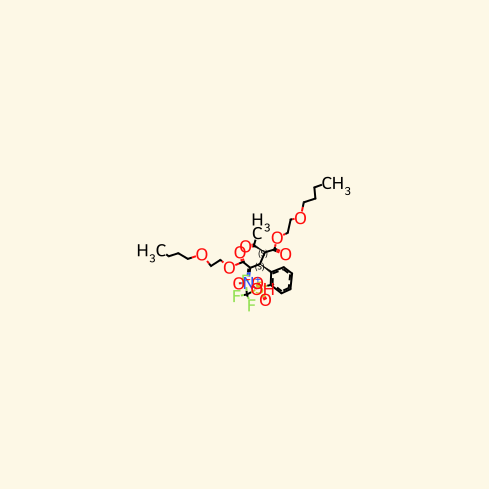 CCCCOCCOC(=O)C([C@H](c1ccccc1S(=O)(=O)C(F)(F)F)[C@@H](C(C)=O)C(=O)OCCOCCCC)=[N+]([O-])O